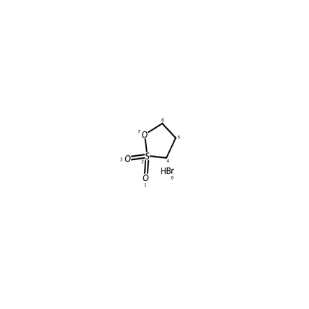 Br.O=S1(=O)CCCO1